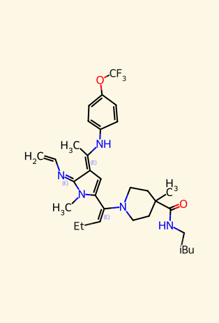 C=C/N=C1\C(=C(/C)Nc2ccc(OC(F)(F)F)cc2)C=C(/C(=C\CC)N2CCC(C)(C(=O)NCC(C)CC)CC2)N1C